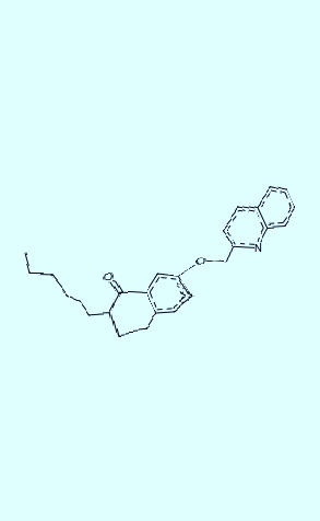 CCCCCCC1CCc2ccc(OCc3ccc4ccccc4n3)cc2C1=O